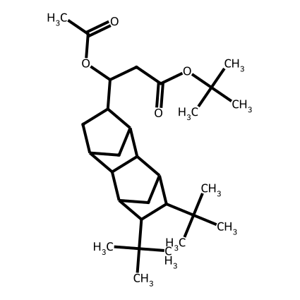 CC(=O)OC(CC(=O)OC(C)(C)C)C1CC2CC1C1C3CC(C21)C(C(C)(C)C)C3C(C)(C)C